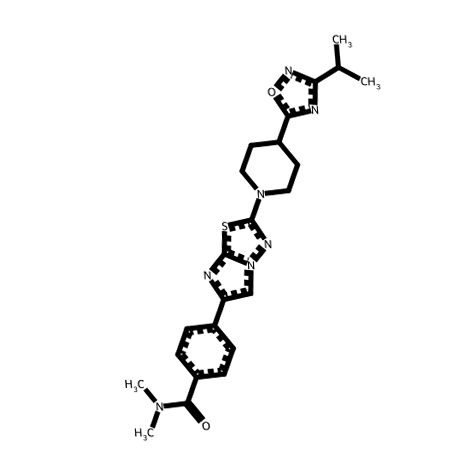 CC(C)c1noc(C2CCN(c3nn4cc(-c5ccc(C(=O)N(C)C)cc5)nc4s3)CC2)n1